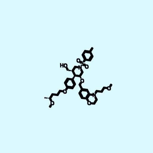 COCCCN1CCOc2ccc(CO[C@H]3CN(S(=O)(=O)c4ccc(C)cc4)C[C@@H](CO)[C@@H]3c3ccc(OCCC[C@@H](C)OC)cc3)cc21